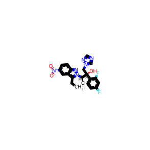 CCc1c2cc([N+](=O)[O-])ccc2nn1[C@H](C)[C@](O)(Cn1cncn1)c1ccc(F)cc1F